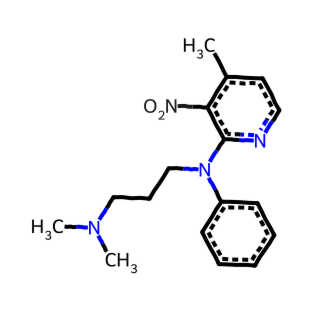 Cc1ccnc(N(CCCN(C)C)c2ccccc2)c1[N+](=O)[O-]